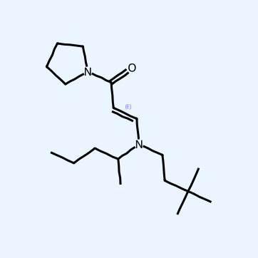 CCCC(C)N(/C=C/C(=O)N1CCCC1)CCC(C)(C)C